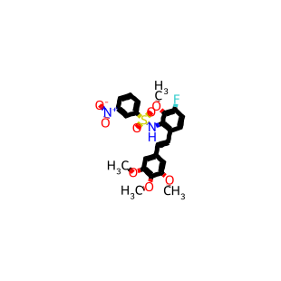 COc1cc(C=Cc2ccc(F)c(OC)c2NS(=O)(=O)c2cccc([N+](=O)[O-])c2)cc(OC)c1OC